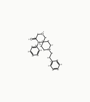 O=C1COCC2(CCN(CCc3ccccc3)CC2)N1c1ccccc1